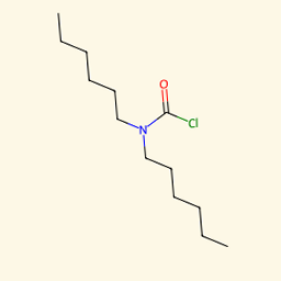 CCCCCCN(CCCCCC)C(=O)Cl